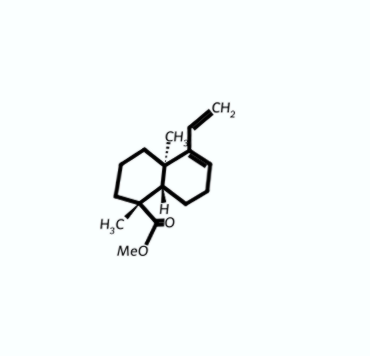 C=CC1=CCC[C@@H]2[C@](C)(C(=O)OC)CCC[C@@]12C